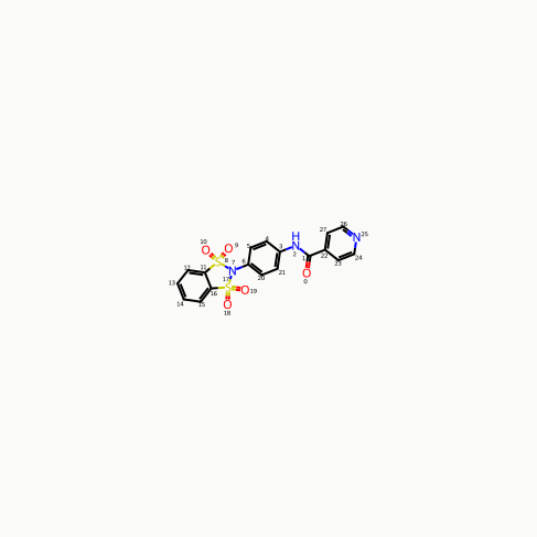 O=C(Nc1ccc(N2S(=O)(=O)c3ccccc3S2(=O)=O)cc1)c1ccncc1